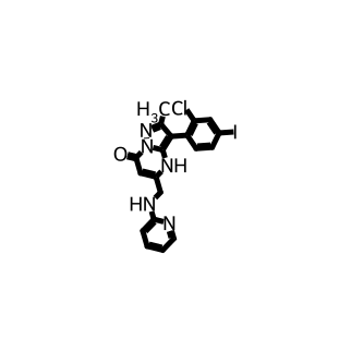 Cc1nn2c(=O)cc(CNc3ccccn3)[nH]c2c1-c1ccc(I)cc1Cl